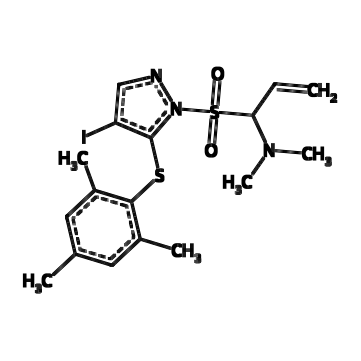 C=CC(N(C)C)S(=O)(=O)n1ncc(I)c1Sc1c(C)cc(C)cc1C